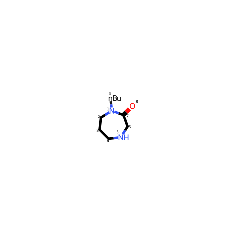 CCCCN1CCCNCC1=O